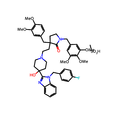 COc1ccc(CC2(CCN3CCC(O)(c4nc5ccccc5n4Cc4ccc(F)cc4)CC3)CCN(Cc3cc(OC)c(OC)c(OC)c3)C2=O)cc1OC.CS(=O)(=O)O